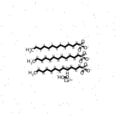 CCCCCCCCCCCCS(=O)(=O)[O-].CCCCCCCCCCCCS(=O)(=O)[O-].CCCCCCCCCCCCS(=O)(=O)[O-].OO.[La+3]